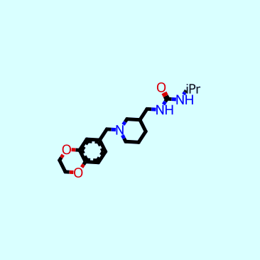 CC(C)NC(=O)NCC1CCCN(Cc2ccc3c(c2)OCCO3)C1